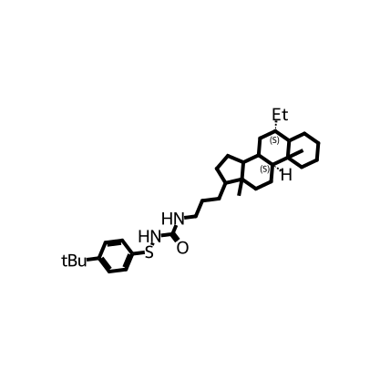 CC[C@H]1CC2C3CCC(CCCNC(=O)NSc4ccc(C(C)(C)C)cc4)C3(C)CC[C@@H]2C2(C)CCCCC12